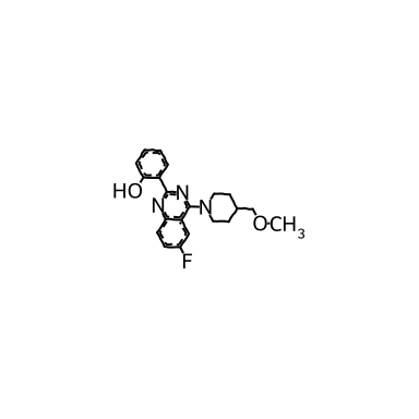 COCC1CCN(c2nc(-c3ccccc3O)nc3ccc(F)cc23)CC1